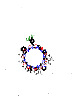 CCC[C@H]1C(=O)N(C)[C@H](C(=O)N2CCCCC2)CC(=O)N(C)[C@@H](CC(C)C)C(=O)N[C@@H]([C@@H](C)CC)C(=O)N(C)CC(=O)N(C)CC(=O)N(C)[C@@H](CC2CCCCC2)C(=O)N(C)CC(=O)N[C@@H](CCc2ccc(C(F)(F)F)c(Cl)c2)C(=O)N2CCC[C@H]2C(=O)NC2(CCCC2)C(=O)N1C